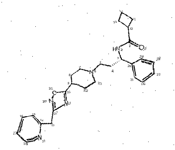 O=C(N[C@@H](CCN1CCC(c2nc(Cc3ccccn3)no2)CC1)c1ccccc1)C1CCC1